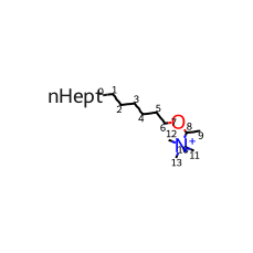 CCCCCCCCCCCCCOC(C)[N+](C)(C)C